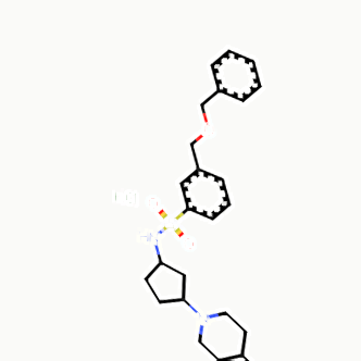 CC1CCN(C2CCC(NS(=O)(=O)c3cccc(COCc4ccccc4)c3)C2)CC1.Cl